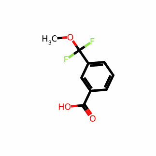 COC(F)(F)c1cccc(C(=O)O)c1